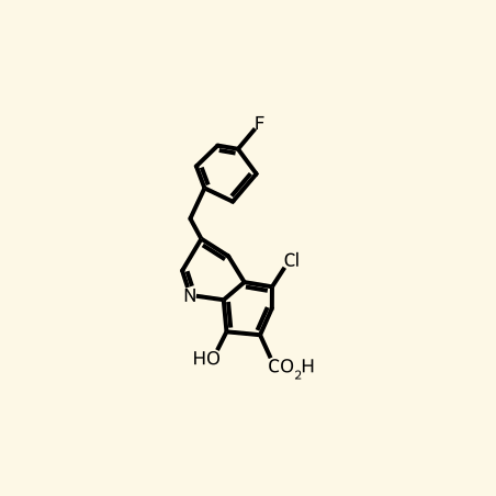 O=C(O)c1cc(Cl)c2cc(Cc3ccc(F)cc3)cnc2c1O